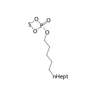 CCCCCCCCCCCCOP1(=O)OSO1